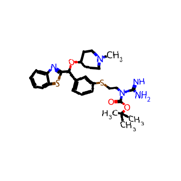 CN1CCC(OC(c2cccc(SCCN(C(=N)N)C(=O)OC(C)(C)C)c2)c2nc3ccccc3s2)CC1